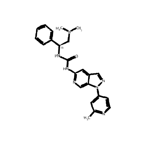 Cc1cc(-n2ncc3cc(NC(=O)N[C@H](CN(C)C)c4ccccc4)ncc32)ccn1